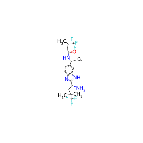 CC(CC(=O)N[C@@H](c1ccc2nc([C@@H](N)CC(C)(C)C(F)(F)F)[nH]c2c1)C1CC1)C(F)(F)F